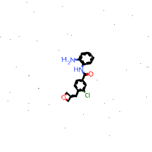 Nc1ccccc1NC(=O)c1ccc(C=C2COC2)c(Cl)c1